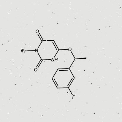 CC(C)n1c(=O)cc(O[C@@H](C)c2cccc(F)c2)[nH]c1=O